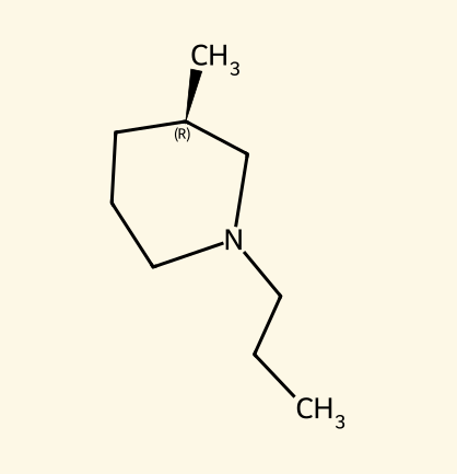 CCCN1CCC[C@@H](C)C1